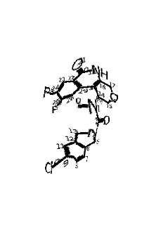 CN(C(=O)N1Cc2ccc(Cl)cc2C1)[C@H]1COCc2[nH]c(=O)c3cc(F)c(F)cc3c21